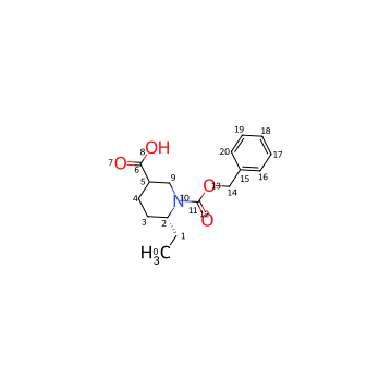 CC[C@@H]1CCC(C(=O)O)CN1C(=O)OCc1ccccc1